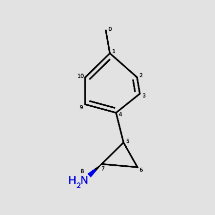 Cc1ccc(C2C[C@H]2N)cc1